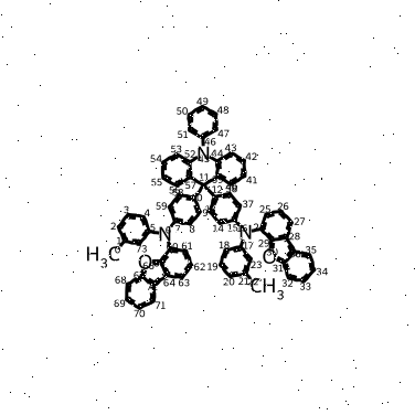 Cc1cccc(N(c2ccc(C3(c4ccc(N(c5cccc(C)c5)c5cccc6c5oc5ccccc56)cc4)c4ccccc4N(c4ccccc4)c4ccccc43)cc2)c2cccc3c2oc2ccccc23)c1